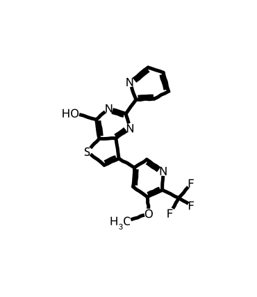 COc1cc(-c2csc3c(O)nc(-c4ccccn4)nc23)cnc1C(F)(F)F